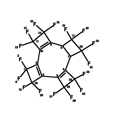 FC1(F)C2=C(C3=C(C4C(C5=C2C(F)(F)C5(F)F)C(F)(F)C4(F)F)C(F)(F)C3(F)F)C1(F)F